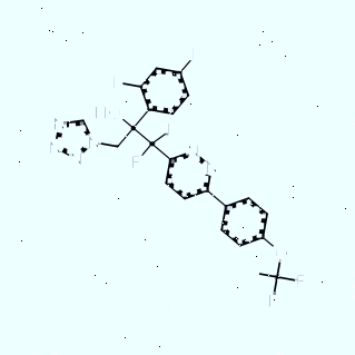 OC(Cn1cnnn1)(c1ccc(F)cc1F)C(F)(F)c1ccc(-c2ccc(OC(F)(F)F)cc2)nn1